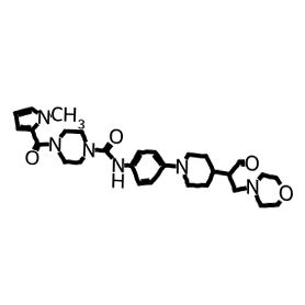 Cn1cccc1C(=O)N1CCN(C(=O)Nc2ccc(N3CCC(C(C=O)CN4CCOCC4)CC3)cc2)CC1